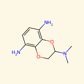 CN(C)C1COc2c(N)ccc(N)c2O1